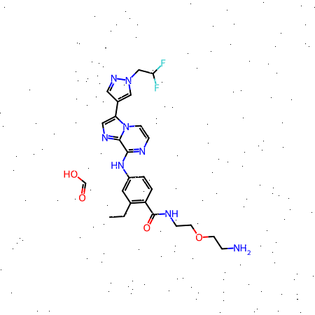 CCc1cc(Nc2nccn3c(-c4cnn(CC(F)F)c4)cnc23)ccc1C(=O)NCCOCCN.O=CO